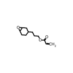 C=CC(=O)OCCCC1CCC2OC2C1